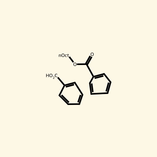 CCCCCCCCOC(=O)c1ccccc1.O=C(O)c1ccccc1